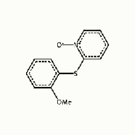 COc1ccccc1Sc1cccc[n+]1[O-]